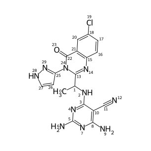 CC(Nc1nc(N)nc(N)c1C#N)c1nc2ccc(Cl)cc2c(=O)n1-c1cc[nH]n1